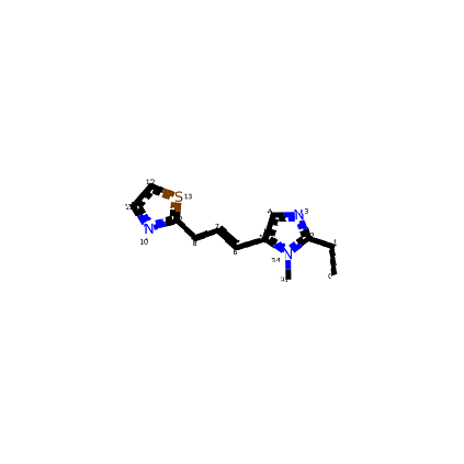 CCc1ncc(/C=C/Cc2nccs2)n1C